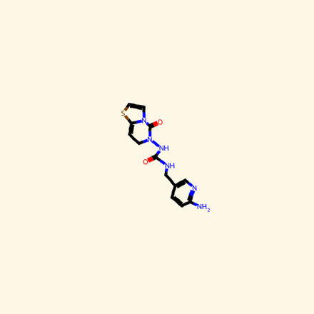 Nc1ccc(CNC(=O)NN2CC=C3SC=CN3C2=O)cn1